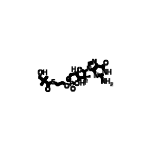 CC(C)(CO)C(=O)SCCO[P@@]1(=O)OC[C@H]2O[C@@H](n3cnc4c(=O)[nH]c(N)nc43)[C@](C)(F)[C@@H]2O1